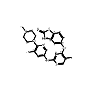 Cc1cnc(Nc2cnc(N3CCN(C)CC3)c(F)c2)nc1Nc1ccc2oc(=O)[nH]c2c1